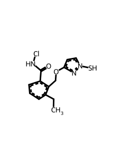 CCc1cccc(C(=O)NCl)c1COc1ccn(S)n1